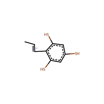 C/C=C/c1c(S)cc(S)cc1S